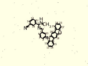 CNC(/N=C/c1cccc(-n2c3ccccc3c3cc4oc5ccccc5c4cc32)c1)c1cccc(C#N)c1